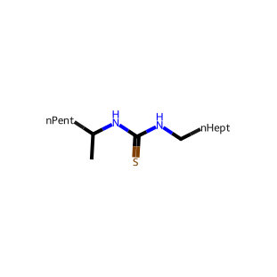 CCCCCCCCNC(=S)NC(C)CCCCC